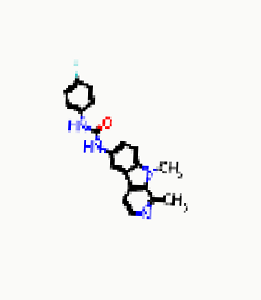 Cc1nccc2c3cc(NC(=O)Nc4ccc(F)cc4)ccc3n(C)c12